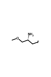 COC[C@H](N)CF